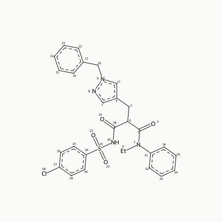 CCN(C(=O)C(Cc1cnn(Cc2ccccc2)c1)C(=O)NS(=O)(=O)c1ccc(Cl)cc1)c1ccccc1